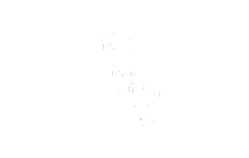 CC(C)(C)OC(=O)Nc1ccccc1CC(=O)N[C@@H]1C(=O)N2[C@@H]1S[C@@](C)(CCl)[C@@H]2C(=O)OC(c1ccccc1)c1ccccc1